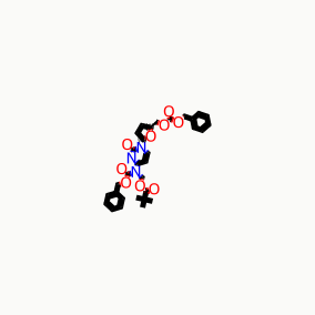 CC(C)(C)C(=O)OCN(C(=O)OCc1ccccc1)c1ccn([C@H]2CC[C@@H](COC(=O)OCc3ccccc3)O2)c(=O)n1